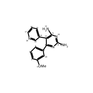 COc1cccc(-c2nc(N)nc(N)c2-c2cccnc2)c1